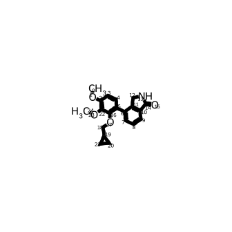 COc1ccc(-c2cccc3c2CNC3=O)c(OC[C]2CC2)c1OC